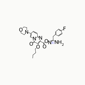 CCCCOc1c(C(=O)O/N=C(/N)Cc2ccc(F)cc2)nc2ccc(N3CCOCC3)cn2c1=O